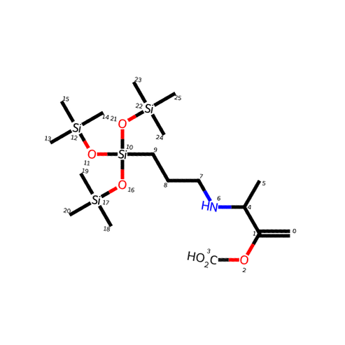 C=C(OC(=O)O)C(C)NCCC[Si](O[Si](C)(C)C)(O[Si](C)(C)C)O[Si](C)(C)C